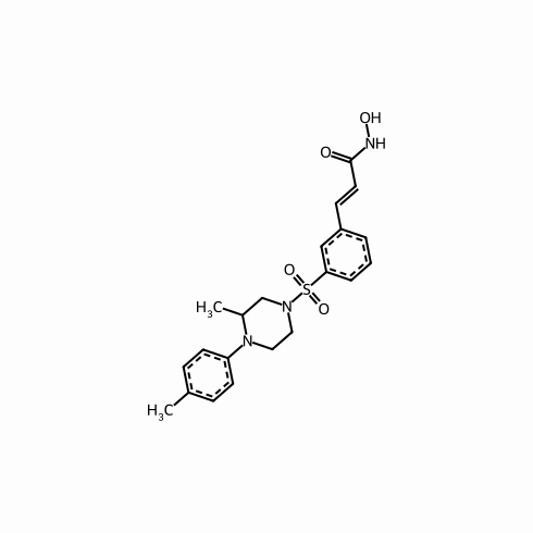 Cc1ccc(N2CCN(S(=O)(=O)c3cccc(C=CC(=O)NO)c3)CC2C)cc1